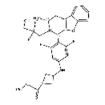 C[C@@H]1Cc2c(oc3ccccc23)[C@@H](c2c(F)cc(NC3CN(C(=O)OC(C)(C)C)C3)cc2F)N1CC(F)(F)CO